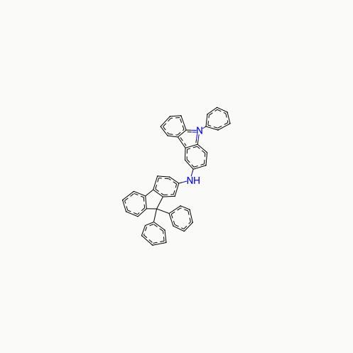 c1ccc(-n2c3ccccc3c3cc(Nc4ccc5c(c4)C(c4ccccc4)(c4ccccc4)c4ccccc4-5)ccc32)cc1